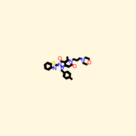 Cc1ccc(Cn2c3cc(=O)n(CCCN4CCOCC4)c(C)c3c(=O)n2-c2nc3ccccc3s2)cc1